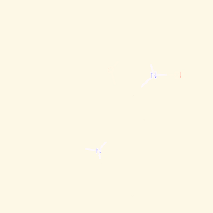 ON1c2ccccc2Oc2cc(N(c3ccccc3)c3ccccc3)ccc21